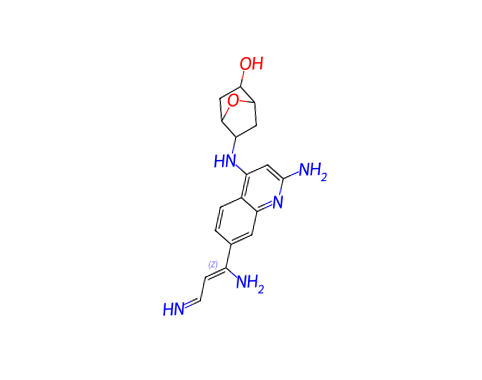 N=C/C=C(\N)c1ccc2c(NC3CC4OC3CC4O)cc(N)nc2c1